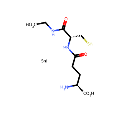 N[C@@H](CCC(=O)N[C@@H](CS)C(=O)NCC(=O)O)C(=O)O.[Sn]